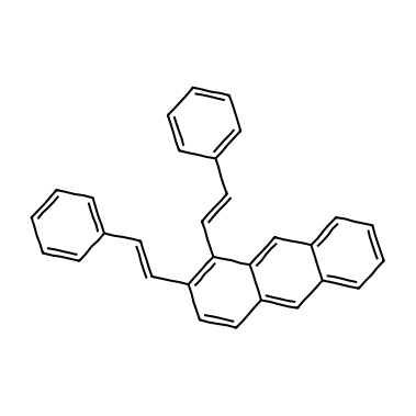 C(=Cc1ccc2cc3ccccc3cc2c1C=Cc1ccccc1)c1ccccc1